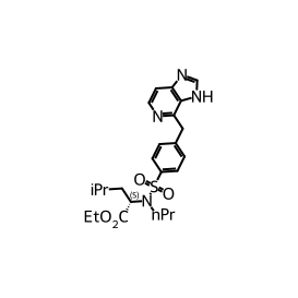 CCCN([C@@H](CC(C)C)C(=O)OCC)S(=O)(=O)c1ccc(Cc2nccc3nc[nH]c23)cc1